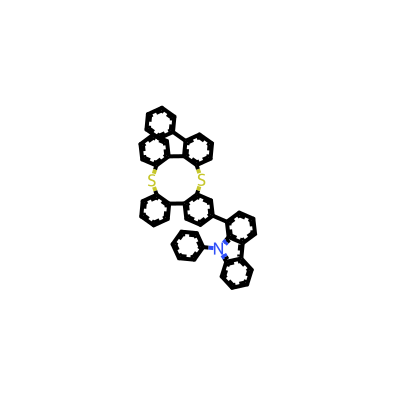 c1ccc(-c2cccc3c2-c2ccccc2Sc2ccccc2-c2ccc(-c4cccc5c6ccccc6n(-c6ccccc6)c45)cc2S3)cc1